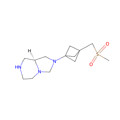 CS(=O)(=O)CC12CC(N3C[C@@H]4CNCCN4C3)(C1)C2